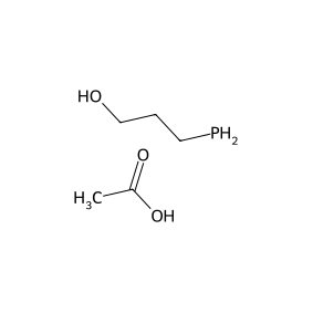 CC(=O)O.OCCCP